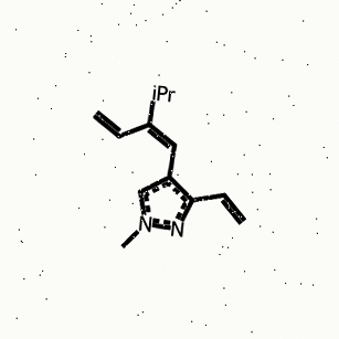 C=C/C(=C\c1cn(C)nc1C=C)C(C)C